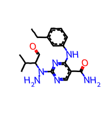 CCc1cccc(Nc2nc(N(N)C(C=O)C(C)C)ncc2C(N)=O)c1